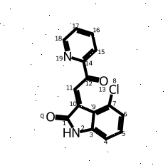 O=C1Nc2cccc(Cl)c2/C1=C\C(=O)c1ccccn1